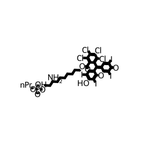 CCCOP(=O)(O)OCCC(N)CCCCCCCOC(=O)c1c(Cl)c(Cl)c(Cl)c(Cl)c1-c1c2cc(I)c(=O)c(I)c-2oc2c(I)c(O)c(I)cc12